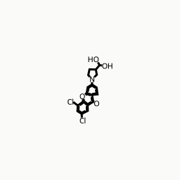 O=c1c2ccc(N3CCC(C(O)O)C3)cc2oc2c(Cl)cc(Cl)cc12